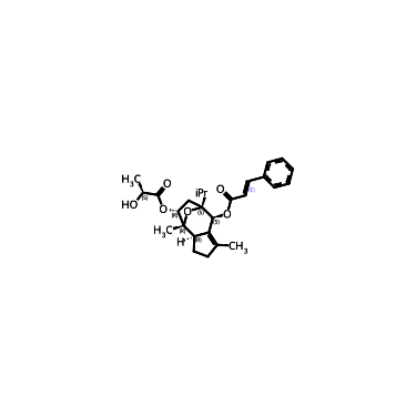 CC1=C2[C@@H](CC1)[C@@]1(C)O[C@](C(C)C)(C[C@H]1OC(=O)[C@H](C)O)[C@H]2OC(=O)/C=C/c1ccccc1